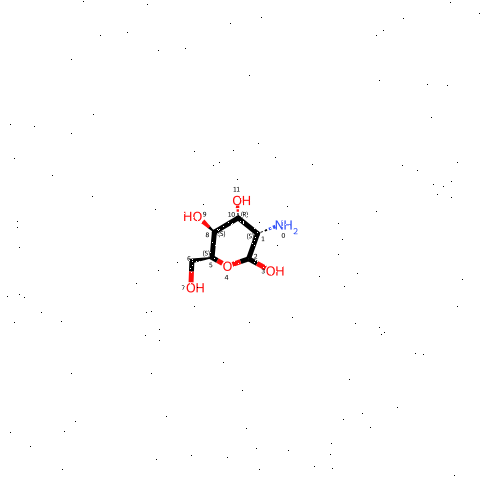 N[C@@H]1C(O)O[C@@H](CO)[C@@H](O)[C@@H]1O